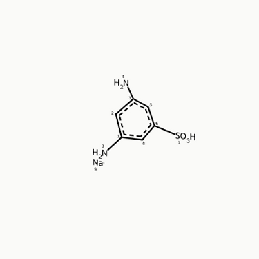 Nc1cc(N)cc(S(=O)(=O)O)c1.[Na]